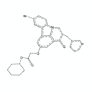 O=C(COc1cc2c(=O)c(Cc3cccnc3)cn3c4ccc(Br)cc4c(c1)c23)OC1CCCCC1